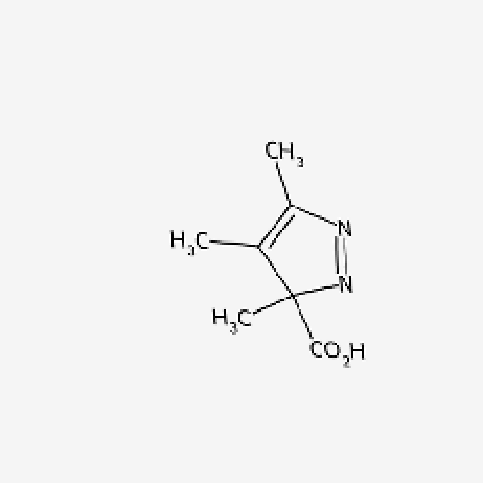 CC1=C(C)C(C)(C(=O)O)N=N1